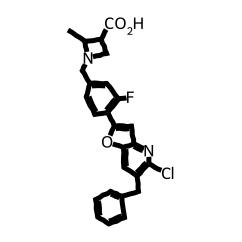 CC1C(C(=O)O)CN1Cc1ccc(-c2cc3nc(Cl)c(Cc4ccccc4)cc3o2)c(F)c1